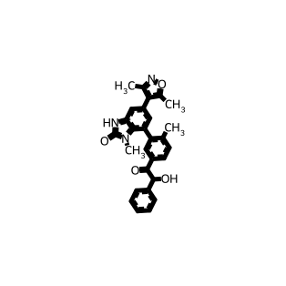 Cc1ccc(C(=O)C(O)c2ccccc2)cc1-c1cc(-c2c(C)noc2C)cc2[nH]c(=O)n(C)c12